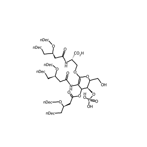 CCCCCCCCCCC[C@H](CC(=O)NC1=C(OC[C@H](NC(=O)C[C@@H](CCCCCCCCCCC)OCCCCCCCCCC)C(=O)O)OC(CO)[C@@H](OP(=O)(O)O)C1OC(=O)C[C@@H](CCCCCCCCCCC)OCCCCCCCCCC)OCCCCCCCCCC